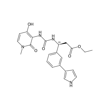 CCOC(=O)C[C@H](NC(=O)Nc1c(O)ccn(C)c1=O)c1cccc(-c2cc[nH]c2)c1